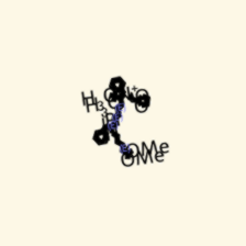 COC(/C=C/CCN1/C(=C/C=C/C=C/C2=[N+](CCC3OCCO3)c3ccccc3C2(C)C)C(C(C)C)c2ccccc21)OC